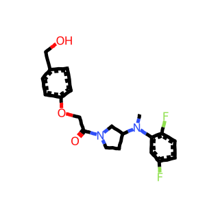 CN(c1cc(F)ccc1F)C1CCN(C(=O)COc2ccc(CO)cc2)C1